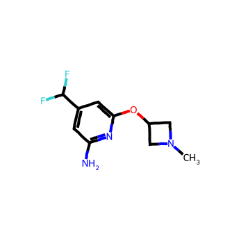 CN1CC(Oc2cc(C(F)F)cc(N)n2)C1